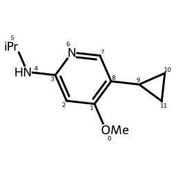 COc1cc(NC(C)C)ncc1C1CC1